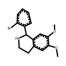 COc1cc2c(cc1OC)C(c1ccccc1Br)NCC2